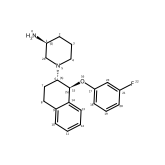 N[C@H]1CCCN([C@H]2CCc3ccccc3[C@@H]2Oc2cccc(F)c2)C1